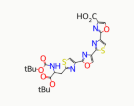 CC(C)(C)OC(=O)NC(Cc1nc(-c2nc(-c3nc(-c4nc(C(=O)O)co4)cs3)co2)cs1)C(=O)OC(C)(C)C